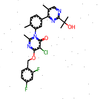 Cc1ccc(-c2nc(C(C)(C)O)ncc2C)cc1-n1c(C)nc(OCc2ccc(F)cc2F)c(Cl)c1=O